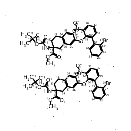 COC(=O)C1(NC(=O)OC(C)(C)C)CCc2ccc(Oc3c(-c4ccccc4Br)cccc3[N+](=O)[O-])cc2C1.COC(=O)C1(NC(=O)OC(C)(C)C)CCc2ccc(Oc3c(-c4ccccc4Br)cccc3[N+](=O)[O-])cc2C1